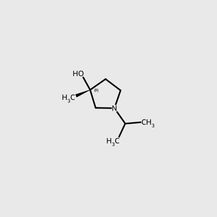 CC(C)N1CC[C@@](C)(O)C1